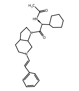 CC(=O)N[C@H](C(=O)N1CCC2CCN(C=Cc3ccccc3)CC21)C1CCCCC1